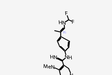 CNC1=C(C(=N)Nc2ccc(/C(C)=C/NC(F)F)cc2)CN(C(C)=O)CC1